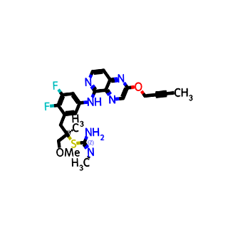 CC#CCOc1cnc2c(Nc3cc(F)c(F)c(C[C@](C)(COC)S/C(N)=N\C)c3)nccc2n1